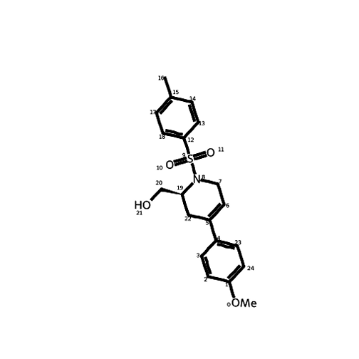 COc1ccc(C2=CCN(S(=O)(=O)c3ccc(C)cc3)[C@H](CO)C2)cc1